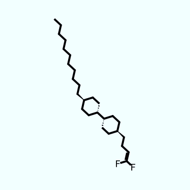 CCCCCCCCCCC[C@H]1CC[C@H]([C@H]2CC[C@H](CCC=C(F)F)CC2)CC1